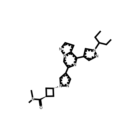 CCC(CC)n1cc(-c2nc(-c3cnn([C@H]4C[C@H](C(=O)N(C)C)C4)c3)cn3nccc23)cn1